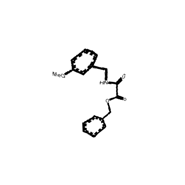 COc1cccc(CNC(=O)C(=O)OCc2ccccc2)c1